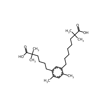 Cc1cc(C)c(CCCCC(C)(C)C(=O)O)cc1CCCCCCC(C)(C)C(=O)O